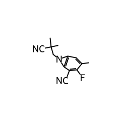 Cc1cc2c(c(C#N)c1F)N2CC(C)(C)C#N